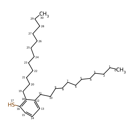 CCCCCCCCCCCCc1cccc(S)c1CCCCCCCCCCCC